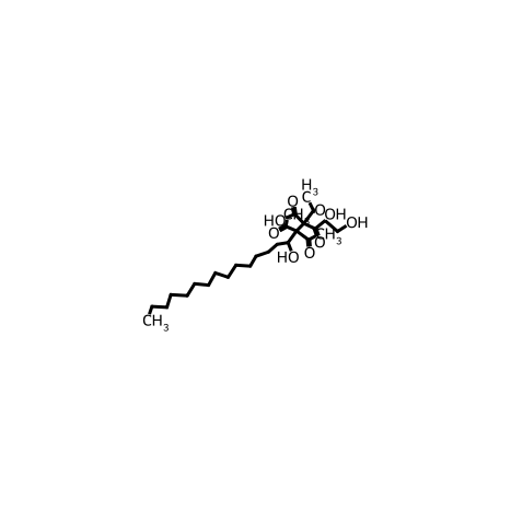 CCCCCCCCCCCCCCC(O)C(C(C)=O)(C(C)=O)C(C(C)=O)(C(=O)O)C(=O)C(O)CO